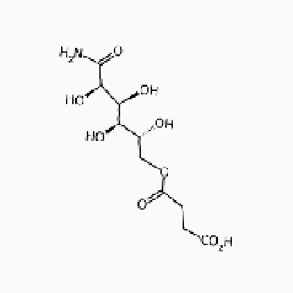 NC(=O)[C@H](O)[C@@H](O)[C@H](O)[C@H](O)COC(=O)CCC(=O)O